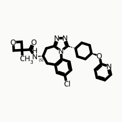 CC1(C(=O)N[C@H]2Cc3cc(Cl)ccc3-n3c(nnc3[C@H]3CC[C@H](Oc4ccccn4)CC3)C2)COC1